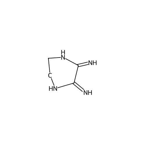 N=C1NCCNC1=N